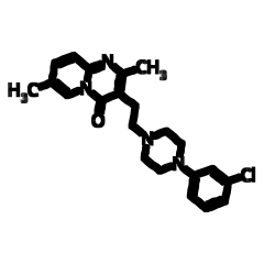 Cc1ccc2nc(C)c(CCN3CCN(c4cccc(Cl)c4)CC3)c(=O)n2c1